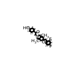 C[C@@]12CN(CC(=O)c3ccc(O)cc3)C[C@]1(C)C[C@@](O)(Cc1ccc(F)cc1F)C2